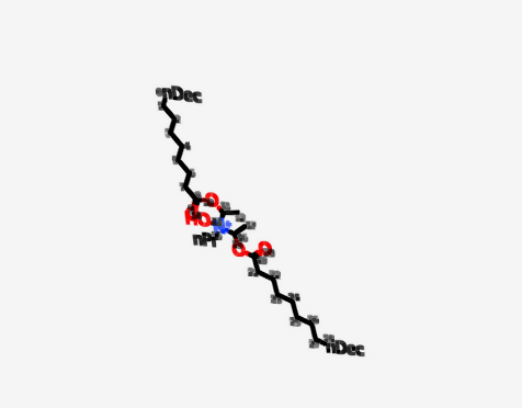 CCCCCCCCCCCCCCCCCC(=O)OC(C)[N+](O)(CCC)C(C)OC(=O)CCCCCCCCCCCCCCCCC